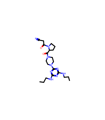 CCCNc1nc(NCCC)nc(N2CCN(C(=O)C3CCCN3C(=O)CC#N)CC2)n1